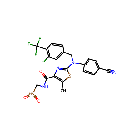 Cc1sc(N(Cc2ccc(C(F)(F)F)c(F)c2)c2ccc(C#N)cc2)nc1C(=O)NC[SH](=O)=O